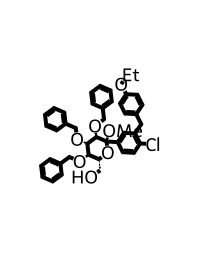 CCOc1ccc(Cc2cc([C@]3(OC)O[C@H](CO)[C@@H](OCc4ccccc4)[C@H](OCc4ccccc4)[C@H]3OCc3ccccc3)ccc2Cl)cc1